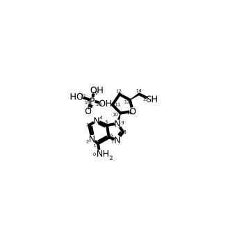 Nc1ncnc2c1ncn2[C@H]1CC[C@@H](CS)O1.O=P(O)(O)O